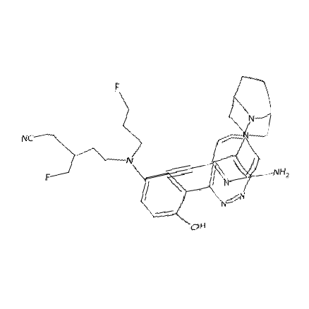 N#CCC(CF)CCN(CC#Cc1cc(N2C3CCC2CN(c2cc(-c4ccccc4O)nnc2N)C3)ccn1)CCCF